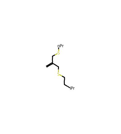 C=C(CSCCC)CSCCC(C)C